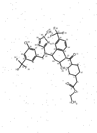 CCOC(=O)CC1CCC(C(=O)N2c3ccc(C(F)(F)F)cc3C(N(Cc3cc(Cl)cc(C(F)(F)F)c3)c3nnn(C)n3)CC2C)CC1